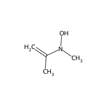 C=C(C)N(C)O